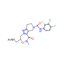 CC(=O)NCC1Cn2nc3c(c2C(=O)N(C)O1)CN(C(=O)Nc1ccc(F)c(Cl)c1F)CC3